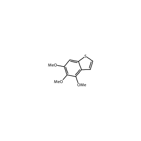 COc1cc2sccc2c(OC)c1OC